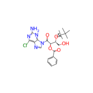 CC(C)(C)[Si](C)(C)O[C@@H](CO)[C@@H](OC(=O)c1ccccc1)C(=O)n1cnc2c(Cl)nc(N)nc21